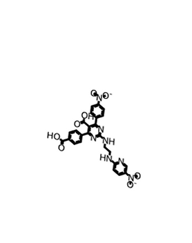 O=C(O)c1ccc(-c2nc(NCCNc3ccc([N+](=O)[O-])cn3)nc(-c3ccc([N+](=O)[O-])cc3)c2C(=O)O)cc1